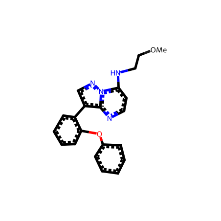 COCCNc1ccnc2c(-c3ccccc3Oc3ccccc3)cnn12